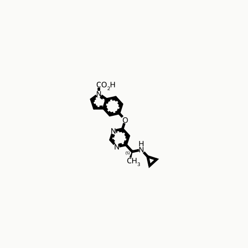 C[C@H](NC1CC1)c1cc(Oc2ccc3c(ccn3C(=O)O)c2)ncn1